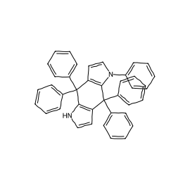 c1ccc(-n2ccc3c2C(c2ccccc2)(c2ccccc2)c2cc[nH]c2C3(c2ccccc2)c2ccccc2)cc1